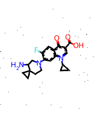 NC1CN(c2cc3c(cc2F)c(=O)c(C(=O)O)cn3C2CC2)CCC12CC2